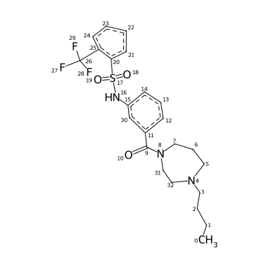 CCCCN1CCCN(C(=O)c2cccc(NS(=O)(=O)c3ccccc3C(F)(F)F)c2)CC1